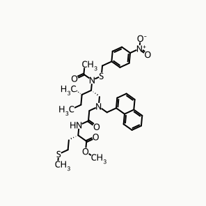 CC[C@H](C)[C@@H](CN(CC(=O)N[C@@H](CCSC)C(=O)OC)Cc1cccc2ccccc12)N(SCc1ccc([N+](=O)[O-])cc1)C(C)=O